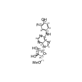 COC[C@H]1O[C@@H](n2cnc3c(Nc4ccc(O)c(F)c4)ncnc32)[C@H](O)[C@@H]1O